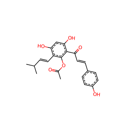 CC(=O)Oc1c(C=CC(C)C)c(O)cc(O)c1C(=O)C=Cc1ccc(O)cc1